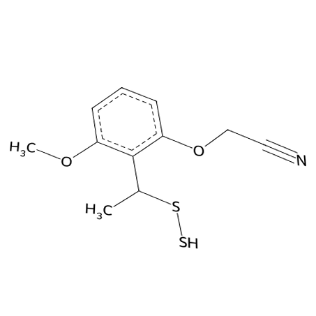 COc1cccc(OCC#N)c1C(C)SS